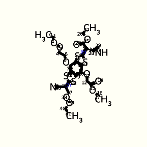 CCOOCCOc1c2c(c(OCC(=O)OCC)c3c1S/C(=C(\C(=O)OCC)[C@H]1CN1)S3)S/C(=C(/C#N)COOCC)S2